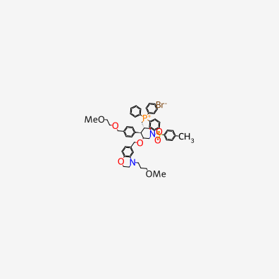 COCCCN1CCOc2ccc(CO[C@H]3CN(S(=O)(=O)c4ccc(C)cc4)C[C@@H](C[P+](c4ccccc4)(c4ccccc4)c4ccccc4)[C@@H]3c3ccc(COCCOC)cc3)cc21.[Br-]